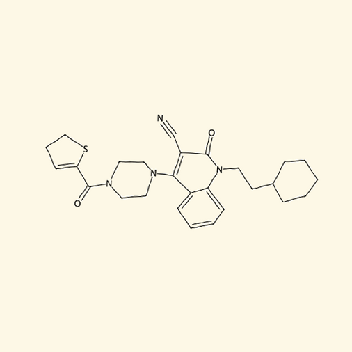 N#Cc1c(N2CCN(C(=O)C3=CCCS3)CC2)c2ccccc2n(CCC2CCCCC2)c1=O